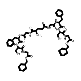 CC(C)CC(NC(=O)C(Cc1ccccc1)NC(=O)CNC(=O)CCC(N)C(=O)NCC(=O)NC(Cc1ccccc1)C(=O)NC(CC(C)C)C(=O)NCC(=O)OCc1ccccc1)C(=O)NCC(=O)OCc1ccccc1